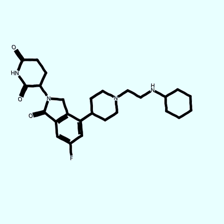 O=C1CCC(N2Cc3c(cc(F)cc3C3CCN(CCNC4CCCCC4)CC3)C2=O)C(=O)N1